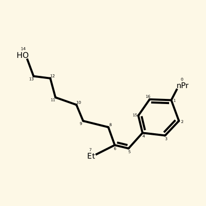 CCCc1ccc(C=C(CC)CCCCCCO)cc1